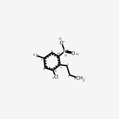 [CH2]CCc1c(Cl)cc(I)cc1[N+](=O)[O-]